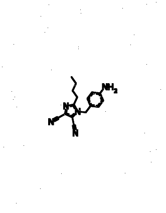 CCCCc1nc(C#N)c(C#N)n1Cc1ccc(N)cc1